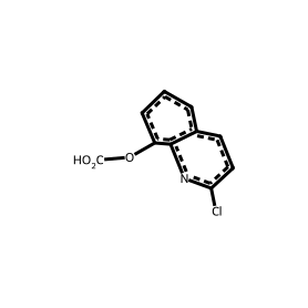 O=C(O)Oc1cccc2ccc(Cl)nc12